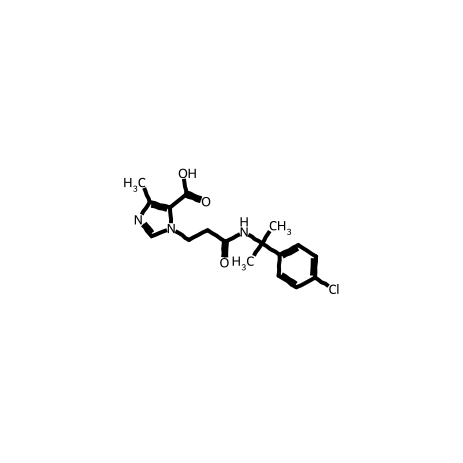 Cc1ncn(CCC(=O)NC(C)(C)c2ccc(Cl)cc2)c1C(=O)O